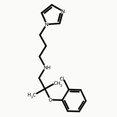 CC(C)(CNCCCn1ccnc1)Oc1ccccc1Cl